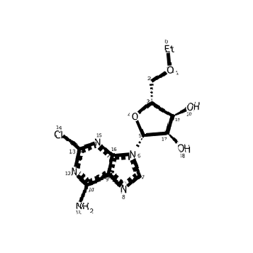 CCOC[C@H]1O[C@@H](n2cnc3c(N)nc(Cl)nc32)[C@H](O)[C@@H]1O